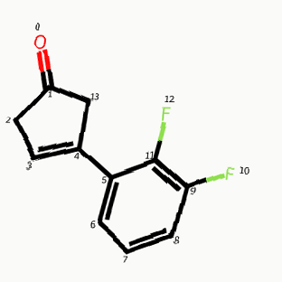 O=C1CC=C(c2cccc(F)c2F)C1